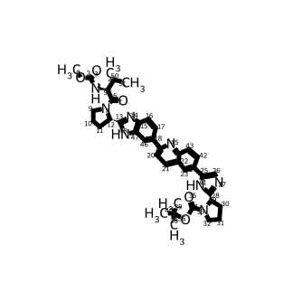 COC(=O)N[C@H](C(=O)N1CCC[C@H]1c1nc2ccc(-c3ccc4cc(-c5cnc([C@@H]6CCCN6C(=O)OC(C)(C)C)[nH]5)ccc4n3)cc2[nH]1)C(C)C